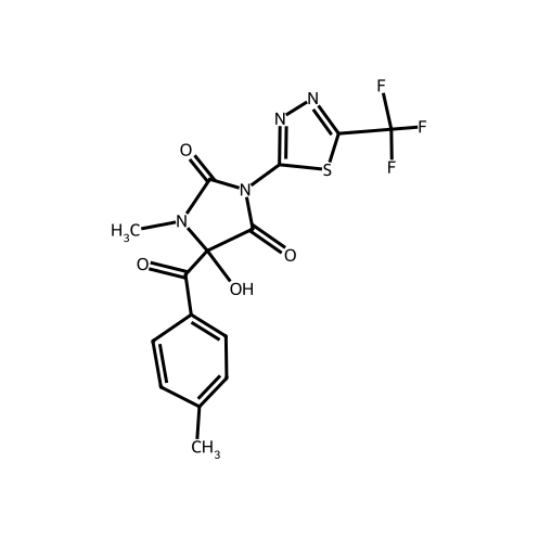 Cc1ccc(C(=O)C2(O)C(=O)N(c3nnc(C(F)(F)F)s3)C(=O)N2C)cc1